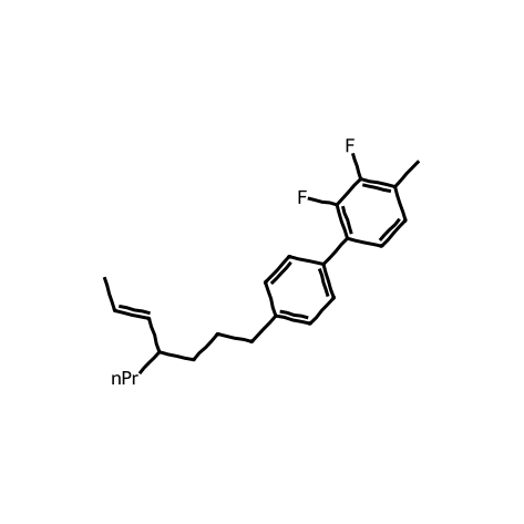 CC=CC(CCC)CCCc1ccc(-c2ccc(C)c(F)c2F)cc1